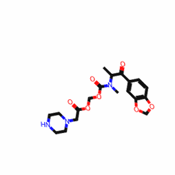 CC(C(=O)c1ccc2c(c1)OCO2)N(C)C(=O)OCOC(=O)CN1CCNCC1